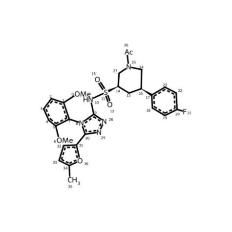 COc1cccc(OC)c1-n1c(NS(=O)(=O)[C@@H]2C[C@H](c3ccc(F)cc3)CN(C(C)=O)C2)nnc1-c1ccc(C)o1